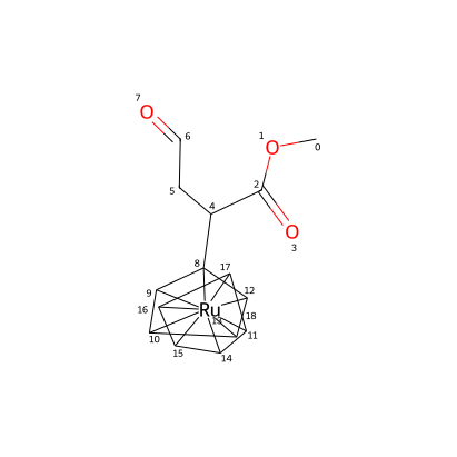 COC(=O)C(CC=O)[C]12[CH]3[CH]4[CH]5[CH]1[Ru]45321678[CH]2[CH]1[CH]6[CH]7[CH]28